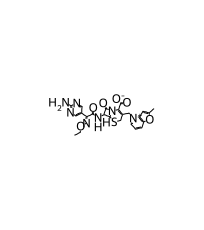 CCON=C(C(=O)NC1C(=O)N2C(C(=O)[O-])=C(C[n+]3cccc4oc(C)cc43)CS[C@@H]12)c1cnc(N)nc1